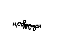 CCOC(=O)C(N)CCCCCC(=O)O